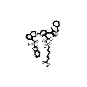 COC(=O)CCCCCS(=O)(=O)NC(=O)c1nc(N2CCc3cccc(C(=O)Nc4nc5ncccc5s4)c3C2)ccc1-c1cnn(CC2CCCCC2)c1C